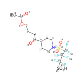 CCC(C)C(=O)OCCCC(=O)C1CCN(S(=O)(=O)C(F)(F)C(F)(F)C(F)(F)S(=O)(=O)O)CC1